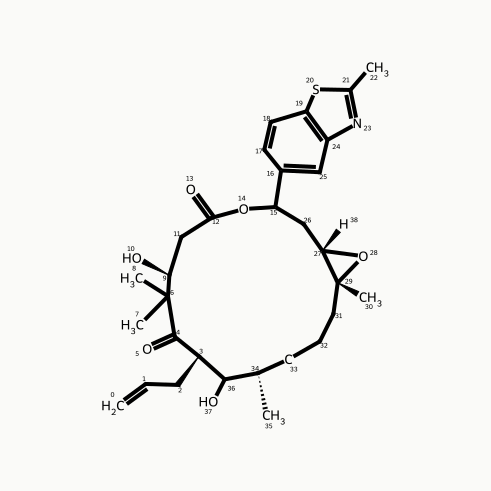 C=CC[C@H]1C(=O)C(C)(C)[C@@H](O)CC(=O)OC(c2ccc3sc(C)nc3c2)C[C@@H]2O[C@]2(C)CCC[C@H](C)C1O